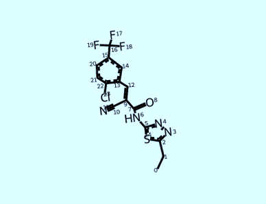 CCc1nnc(NC(=O)/C(C#N)=C/c2cc(C(F)(F)F)ccc2Cl)s1